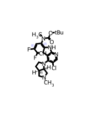 C=C(F)/C(F)=C\C(=C1/Cc2c(ncc(Cl)c2N2CC[C@@H]3CN(C)C[C@@H]32)N1)N(C)C(=O)OC(C)(C)C